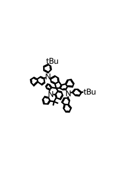 CC(C)(C)c1ccc(N(c2ccc3c(c2)C2(c4ccccc4N4c5ccccc5C(C)(C)c5cccc2c54)c2cc(N(c4ccc(C(C)(C)C)cc4)c4ccc5ccccc5c4)c4ccccc4c2-3)c2ccc3ccccc3c2)cc1